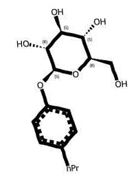 CCCc1ccc(O[C@@H]2O[C@H](CO)[C@@H](O)[C@H](O)[C@H]2O)cc1